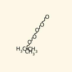 CC(C)(C)CCOCCOCCOCCOCCC=O